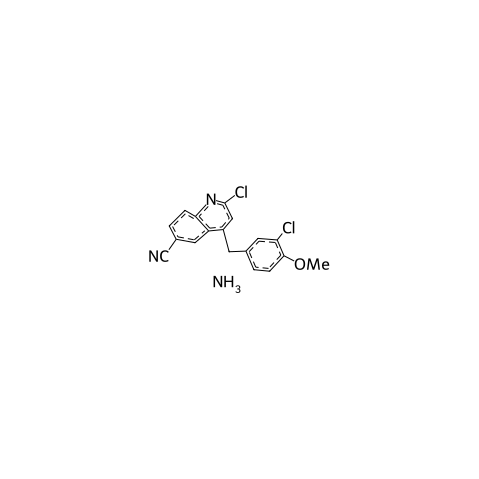 COc1ccc(Cc2cc(Cl)nc3ccc(C#N)cc23)cc1Cl.N